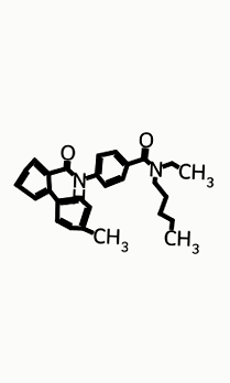 CCCCCN(CC)C(=O)c1ccc(NC(=O)c2ccccc2-c2ccc(C)cc2)cc1